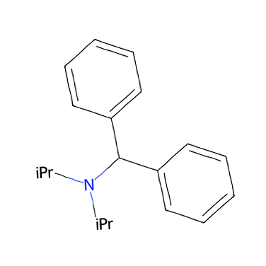 CC(C)N(C(C)C)C(c1ccccc1)c1ccccc1